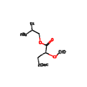 CCCCCCCCCCCC(O[C]=O)C(=O)OCC(CC)CCCC